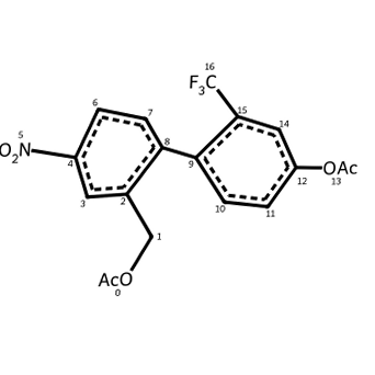 CC(=O)OCc1cc([N+](=O)[O-])ccc1-c1ccc(OC(C)=O)cc1C(F)(F)F